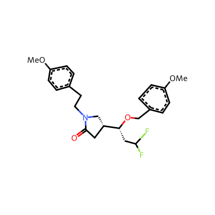 COc1ccc(CCN2C[C@H]([C@@H](CC(F)F)OCc3ccc(OC)cc3)CC2=O)cc1